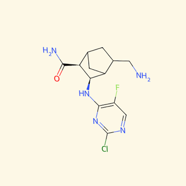 NCC1CC2CC1[C@@H](Nc1nc(Cl)ncc1F)[C@H]2C(N)=O